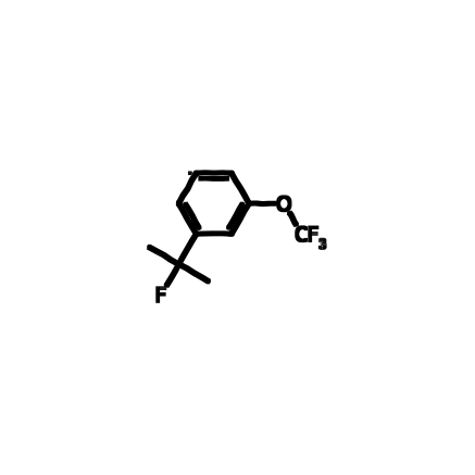 CC(C)(F)c1c[c]cc(OC(F)(F)F)c1